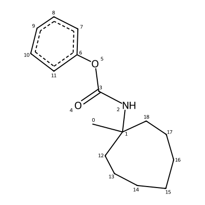 CC1(NC(=O)Oc2ccccc2)CCCCCCC1